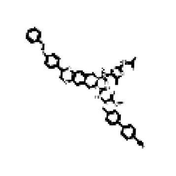 COC(=O)[C@H](Cc1ccc(-c2ccc(C#N)cc2)cc1)NC(=O)[C@@H]1Cc2cc3c(cc2CN1S(=O)(=O)c1sc(NC(C)=O)nc1C)OC(c1ccc(OCc2ccccc2)cc1)CO3